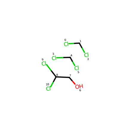 ClCCl.ClCCl.OCC(Cl)Cl